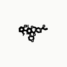 C=CC(=O)N1CCN2C(=O)c3c(cc(-c4c(O)cccc4F)nc3N3CCOCC3)OCC2C1